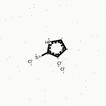 [Cl-].[Cl-].[Cl-].[Ti+3][c]1ccc[pH]1